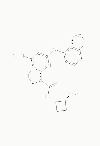 CNc1cc(Nc2cccc3ocnc23)nc2c(C(=O)N[C@H]3CC[C@@H]3OC)cnn12